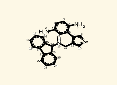 Nc1ccc(N)c(-c2cscc2CNC2c3ccccc3-c3ccccc32)c1